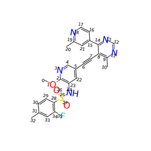 COc1ncc(C#Cc2c(C)ncnc2-c2ccnc(C)c2)cc1NS(=O)(=O)c1ccc(C)cc1F